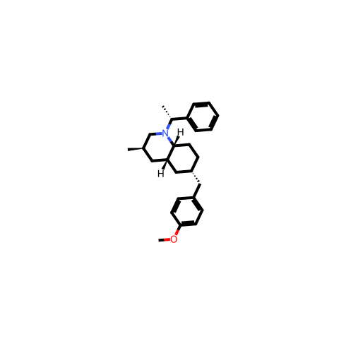 COc1ccc(C[C@H]2CC[C@@H]3[C@@H](C[C@@H](C)CN3[C@H](C)c3ccccc3)C2)cc1